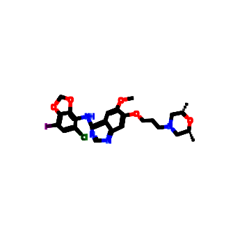 COc1cc2c(Nc3c(Cl)cc(I)c4c3OCO4)ncnc2cc1OCCCN1C[C@@H](C)O[C@@H](C)C1